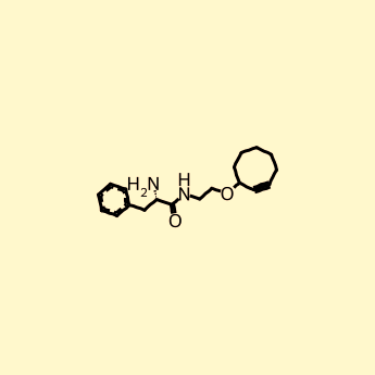 N[C@@H](Cc1ccccc1)C(=O)NCCOC1C#CCCCCC1